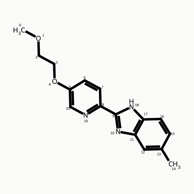 COCCOc1ccc(-c2nc3cc(C)ccc3[nH]2)nc1